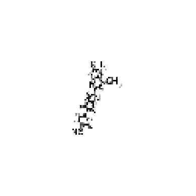 Cc1cn2nc(-c3nc4sc(C5CCB(C#N)CC5)cc4s3)cc(C)c2n1